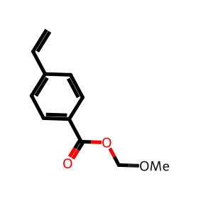 C=Cc1ccc(C(=O)OCOC)cc1